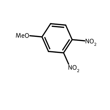 COc1ccc([N+](=O)[O-])c([N+](=O)[O-])c1